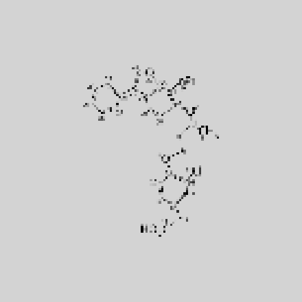 CCCc1c(OC(C)CCOc2ccc(CC(=O)O)cc2Cl)ccc2c(-c3ccccc3)coc12